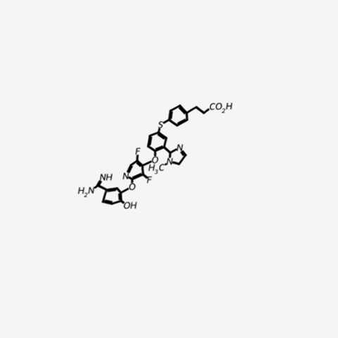 CN1CC=NC1c1cc(Sc2ccc(CCC(=O)O)cc2)ccc1Oc1c(F)cnc(Oc2cc(C(=N)N)ccc2O)c1F